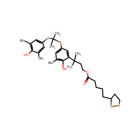 CC(C)(Sc1cc(C(C)(C)C)c(O)c(C(C)(C)C)c1)Sc1cc(C(C)(C)C)c(O)c(C(C)(C)CCOC(=O)CCCCC2CCSS2)c1